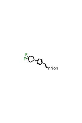 CCCCCCCCCC=Cc1ccc(C2CCC(F)(F)CC2)cc1